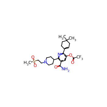 CC1(C)CC=C(c2nc(C3CCN(CCS(C)(=O)=O)CC3)c(C(N)=O)cc2OC(=O)C(F)(F)F)CC1